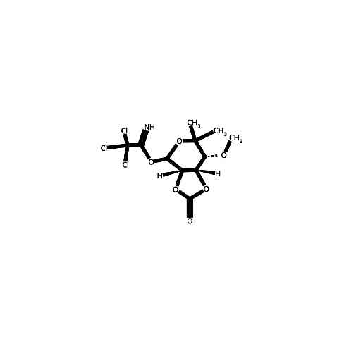 CO[C@@H]1[C@@H]2OC(=O)O[C@@H]2C(OC(=N)C(Cl)(Cl)Cl)OC1(C)C